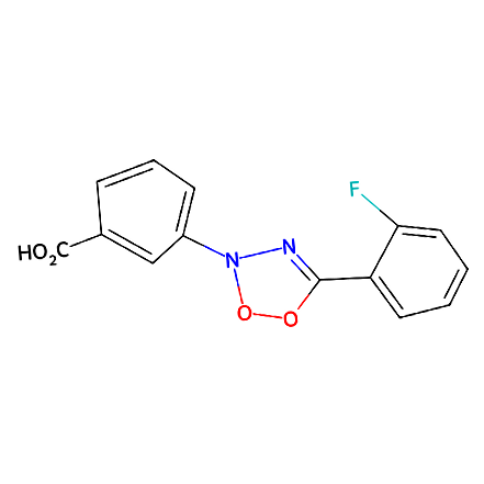 O=C(O)c1cccc(N2N=C(c3ccccc3F)OO2)c1